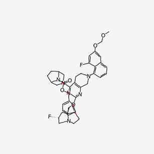 COCOc1cc(F)c2c(N3CCc4c(nc(OC[C@@]56CCCN5C[C@H](F)C6)nc4N4CC5CCC(C4)N5C(=O)OCc4ccccc4)C3)cccc2c1